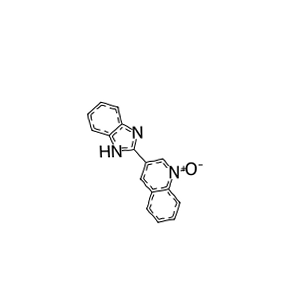 [O-][n+]1cc(-c2nc3ccccc3[nH]2)cc2ccccc21